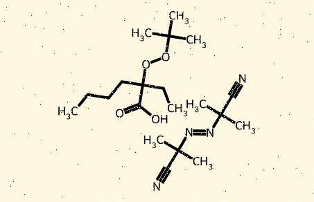 CC(C)(C#N)N=NC(C)(C)C#N.CCCCC(CC)(OOC(C)(C)C)C(=O)O